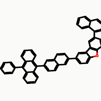 c1ccc(-c2c3ccccc3c(-c3ccc4cc(-c5ccc6oc7cc8oc9ccc%10ccccc%10c9c8cc7c6c5)ccc4c3)c3ccccc23)cc1